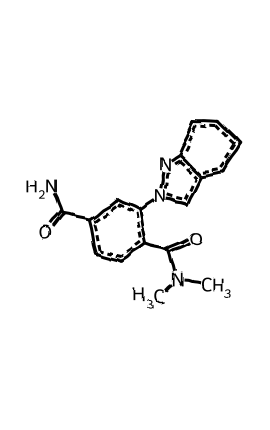 CN(C)C(=O)c1ccc(C(N)=O)cc1-n1cc2ccccc2n1